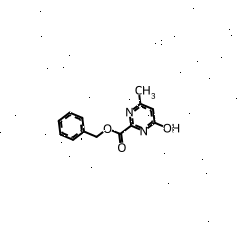 Cc1cc(O)nc(C(=O)OCc2ccccc2)n1